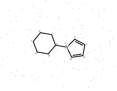 c1ccn([C]2CCCCC2)c1